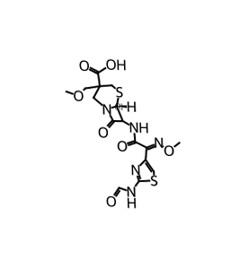 COCC1(C(=O)O)CS[C@@H]2C(NC(=O)C(=NOC)c3csc(NC=O)n3)C(=O)N2C1